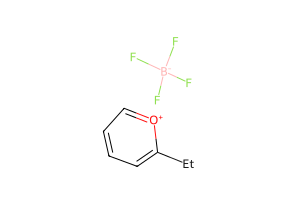 CCc1cccc[o+]1.F[B-](F)(F)F